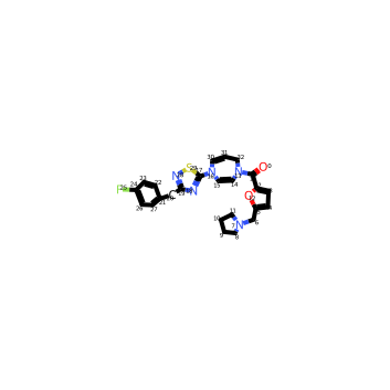 O=C(c1ccc(CN2CCCC2)o1)N1C=CN(c2nc(Cc3ccc(F)cc3)ns2)C=CC1